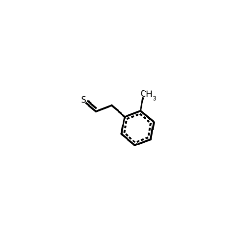 Cc1ccccc1CC=S